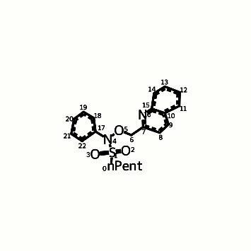 CCCCCS(=O)(=O)N(OCc1ccc2ccccc2n1)c1ccccc1